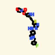 O=C(O[C@H]1CN[C@H](C#Cc2cc3c(Nc4ccc5c(cnn5Cc5cccc(F)c5)c4)ncnc3s2)C1)N1CCOCC1